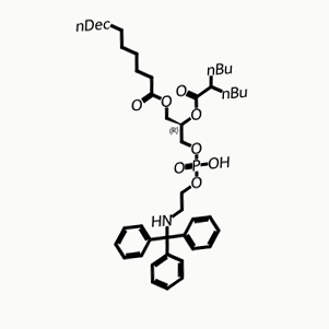 CCCCCCCCCCCCCCCC(=O)OC[C@H](COP(=O)(O)OCCNC(c1ccccc1)(c1ccccc1)c1ccccc1)OC(=O)C(CCCC)CCCC